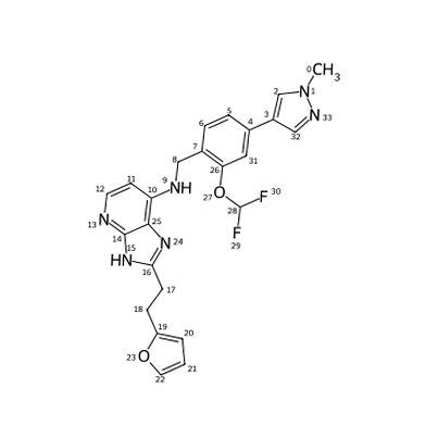 Cn1cc(-c2ccc(CNc3ccnc4[nH]c(CCc5ccco5)nc34)c(OC(F)F)c2)cn1